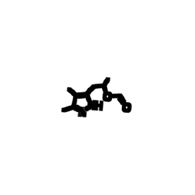 Cc1n[nH]c(CC(C)OC=O)c1C